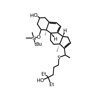 CCC(O)(CC)CCCSC(C)C1=CC[C@H]2C3=CC=C4CC(O)CC(O[Si](C)(C)C(C)(C)C)[C@]4(C)[C@H]3CC[C@]12C